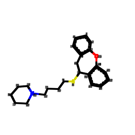 c1ccc2c(c1)CC(SCCCCN1CCCCC1)c1ccccc1O2